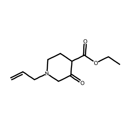 C=CCN1CCC(C(=O)OCC)C(=O)C1